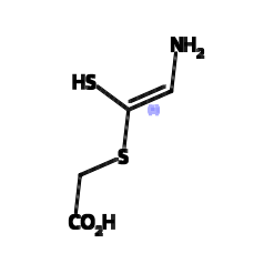 N/C=C(\S)SCC(=O)O